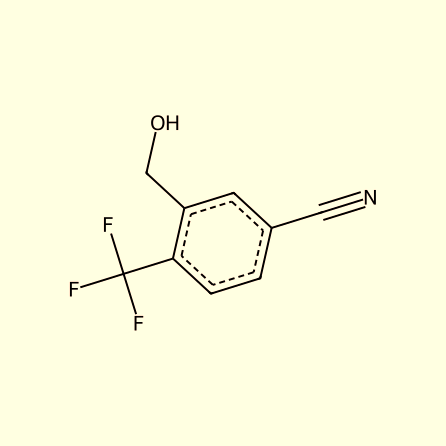 N#Cc1ccc(C(F)(F)F)c(CO)c1